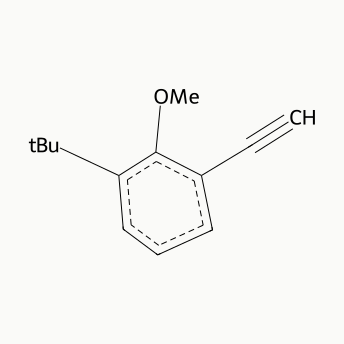 C#Cc1cccc(C(C)(C)C)c1OC